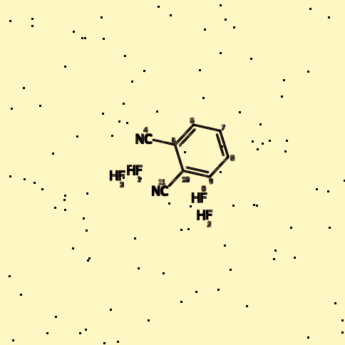 F.F.F.F.N#Cc1ccccc1C#N